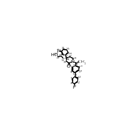 C[C@@H](c1ccc(-c2ccc(F)cc2)cc1)N1CC[C@](CCCO)(c2cccc(F)c2)CC1=O